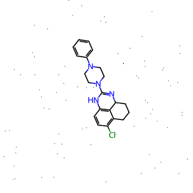 Clc1ccc2c3c1CCCC3N=C(N1CCN(c3ccccc3)CC1)N2